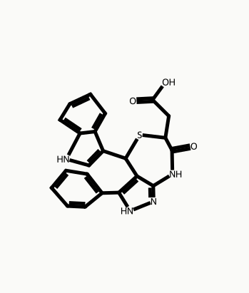 O=C(O)CC1SC(c2c[nH]c3ccccc23)c2c(n[nH]c2-c2ccccc2)NC1=O